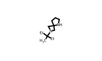 CCC(C)(CC)N1CC2(CCCN2)C1